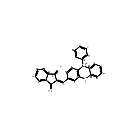 O=C1C(=Cc2ccc3c(c2)Sc2ccccc2N3c2ccccc2)C(=O)c2ccccc21